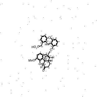 COc1ccc2c3c1O[C@H]1C(=O)CC[C@H]4[C@@H](C2)N(C)CC[C@]314.O=C(O)Cc1ccccc1Nc1c(Cl)cccc1Cl